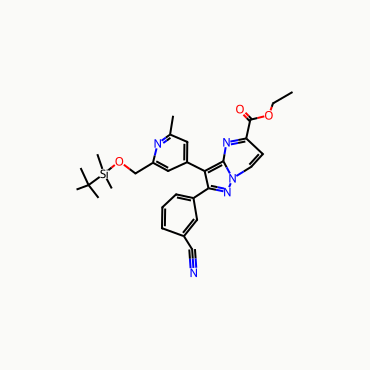 CCOC(=O)c1ccn2nc(-c3cccc(C#N)c3)c(-c3cc(C)nc(CO[Si](C)(C)C(C)(C)C)c3)c2n1